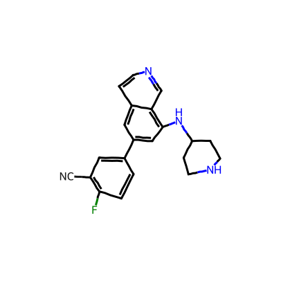 N#Cc1cc(-c2cc(NC3CCNCC3)c3cnccc3c2)ccc1F